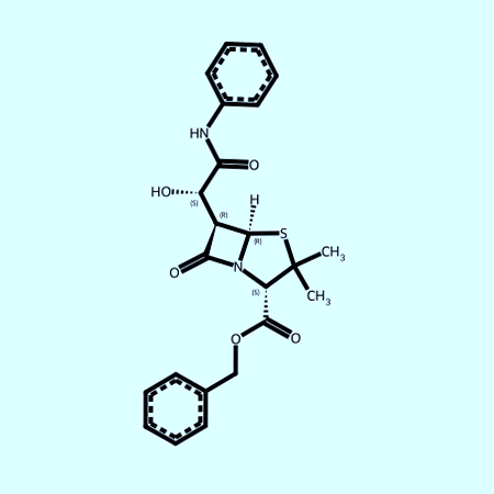 CC1(C)S[C@@H]2[C@H]([C@H](O)C(=O)Nc3ccccc3)C(=O)N2[C@H]1C(=O)OCc1ccccc1